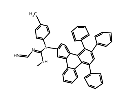 Cc1ccc(N(/C(=N/C=N)NI)c2ccc3c(c2)c2ccccc2c2c(-c4ccccc4)cc(-c4ccccc4)c(-c4ccccc4)c32)cc1